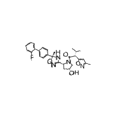 Cc1cc([C@H](C(=O)N2C[C@H](O)C[C@H]2C2=NO[C@](C)(c3ccc(-c4ccccc4F)cc3)N2)C(C)C)on1